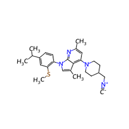 [C-]#[N+]CC1CCN(c2cc(C)nc3c2c(C)cn3-c2ccc(C(C)C)cc2SC)CC1